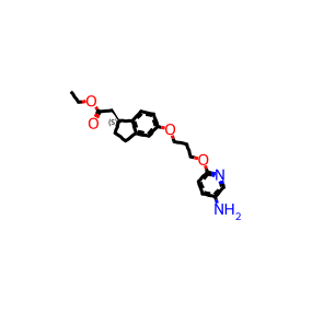 CCOC(=O)C[C@@H]1CCc2cc(OCCCOc3ccc(N)cn3)ccc21